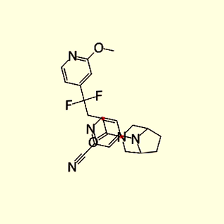 COc1cc(C(F)(F)CCC(=O)N2CC3CCC(C2)N3c2ccnc(C#N)c2)ccn1